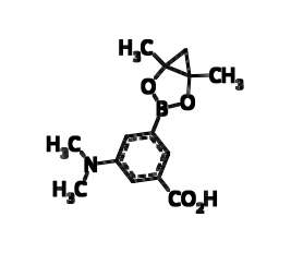 CN(C)c1cc(B2OC3(C)CC3(C)O2)cc(C(=O)O)c1